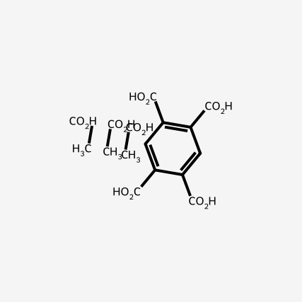 CC(=O)O.CC(=O)O.CC(=O)O.O=C(O)c1cc(C(=O)O)c(C(=O)O)cc1C(=O)O